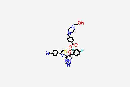 C[C@@H](c1nc(-c2ccc(C#N)cc2)cs1)[C@@](Cn1cncn1)(OCOC(=O)c1ccc(CN2CCN(CCO)CC2)cc1)c1ccc(F)cc1F